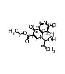 CCOC(=O)c1cn(C(O)CC)c2c(Cl)c(Cl)ncc2c1=O